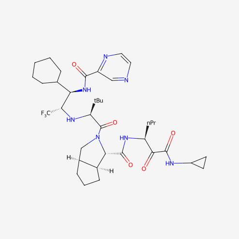 CCC[C@H](NC(=O)[C@@H]1[C@H]2CCC[C@H]2CN1C(=O)[C@@H](N[C@@H]([C@H](NC(=O)c1cnccn1)C1CCCCC1)C(F)(F)F)C(C)(C)C)C(=O)C(=O)NC1CC1